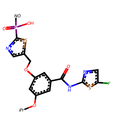 CC(C)Oc1cc(OCc2cnc(P(=O)(O)N=O)s2)cc(C(=O)Nc2ncc(F)s2)c1